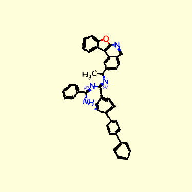 CC(/N=C(\N=C(/N)c1ccccc1)c1ccc(-c2ccc(-c3ccccc3)cc2)cc1)c1ccc2cnc3oc4ccccc4c3c2c1